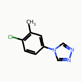 Cc1cc(-n2cnnc2)ccc1Cl